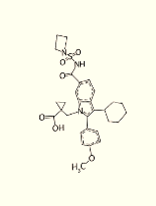 COc1ccc(-c2c(C3CCCCC3)c3ccc(C(=O)NS(=O)(=O)N4CCC4)cc3n2CC2(C(=O)O)CC2)cc1